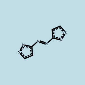 c1cc(N=Nc2ccsn2)ns1